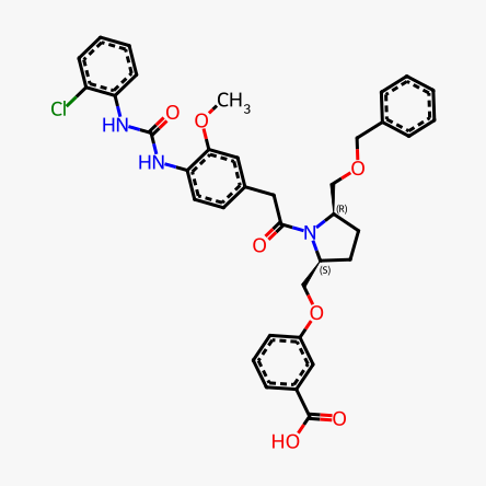 COc1cc(CC(=O)N2[C@@H](COCc3ccccc3)CC[C@H]2COc2cccc(C(=O)O)c2)ccc1NC(=O)Nc1ccccc1Cl